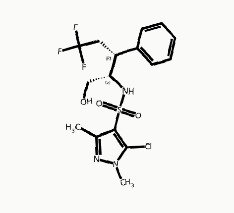 Cc1nn(C)c(Cl)c1S(=O)(=O)N[C@H](CO)[C@H](CC(F)(F)F)c1ccccc1